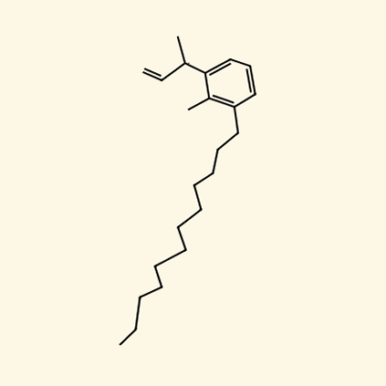 C=C[C](C)c1cccc(CCCCCCCCCCCC)c1C